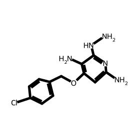 NNc1nc(N)cc(OCc2ccc(Cl)cc2)c1N